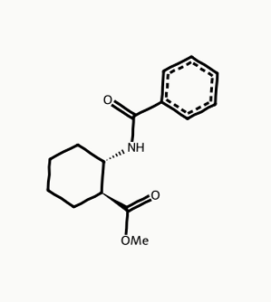 COC(=O)[C@H]1CCCC[C@@H]1NC(=O)c1ccccc1